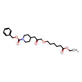 CCOC(=O)CCCCCOCC(=O)CC1CCN(C(=O)OCc2ccccc2)CC1